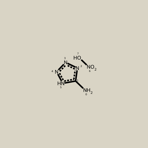 Nc1nnn[nH]1.O=[N+]([O-])O